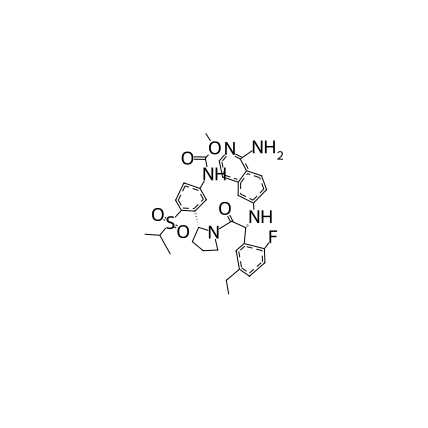 CCc1ccc(F)c([C@@H](Nc2ccc3c(N)nccc3c2)C(=O)N2CCC[C@@H]2c2cc(NC(=O)OC)ccc2S(=O)(=O)C(C)C)c1